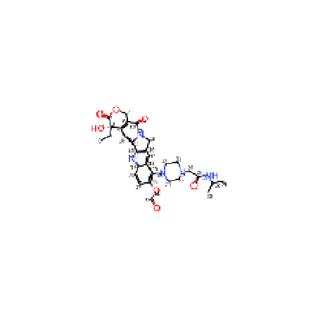 CC[C@@]1(O)C(=O)OCc2c1cc1n(c2=O)Cc2cc3c(N4CCN(CC(=O)NC(C)C)CC4)c(OC=O)ccc3nc2-1